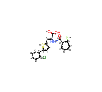 O=C(O)C(=Cc1ccc(-c2ccccc2Cl)s1)NC(=O)c1ccccc1F